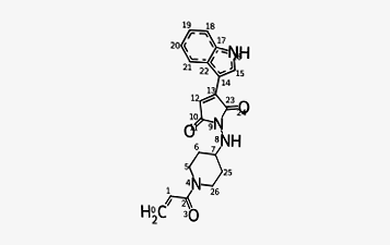 C=CC(=O)N1CCC(NN2C(=O)C=C(c3c[nH]c4ccccc34)C2=O)CC1